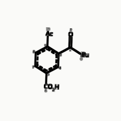 CCC(C)C(=O)c1cc(C(=O)O)ccc1C(C)=O